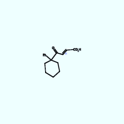 CCC1(C(=O)/C=C/C(=O)O)CCCCC1